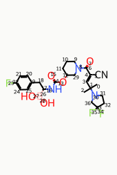 CC(C)(C=C(C#N)C(=O)N1CCC[C@H](OC(=O)NC(Cc2ccc(F)cc2)B(O)O)C1)N1CCC(F)(F)C1